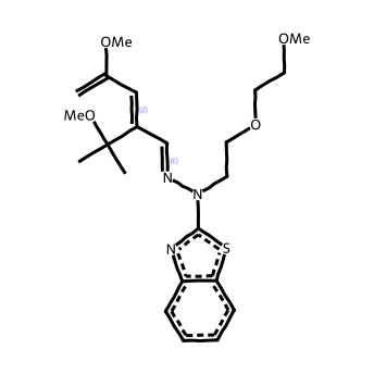 C=C(/C=C(/C=N/N(CCOCCOC)c1nc2ccccc2s1)C(C)(C)OC)OC